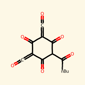 CCCCC(=O)C1C(=O)C(=C=O)C(=O)C(=C=O)C1=O